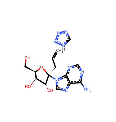 C=CC[C@@]1(n2cnc3c(N)ncnc32)O[C@H](CO)[C@@H](O)[C@H]1O.c1nnn[nH]1